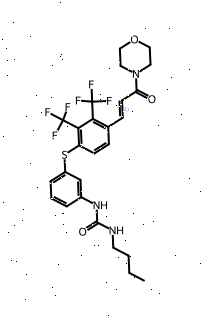 CCCCNC(=O)Nc1cccc(Sc2ccc(/C=C/C(=O)N3CCOCC3)c(C(F)(F)F)c2C(F)(F)F)c1